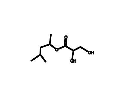 CC(C)CC(C)OC(=O)C(O)CO